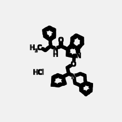 CCC(NC(=O)c1cc(OCC(c2ccccc2)N2CCc3ccccc3C2)nc2ccccc12)c1ccccc1.Cl